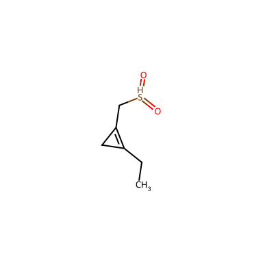 CCC1=C(C[SH](=O)=O)C1